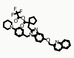 O=C(OC(=O)C1(Cc2nc3cc(OCc4ccc5ccccc5n4)ccc3n2Cc2ccc(N3CCCCC3)cc2)CCCC1)C(F)(F)F